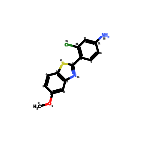 COc1ccc2sc(-c3ccc(N)cc3Cl)nc2c1